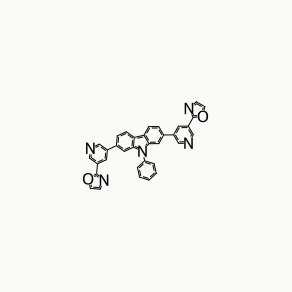 c1ccc(-n2c3cc(-c4cncc(-c5ncco5)c4)ccc3c3ccc(-c4cncc(-c5ncco5)c4)cc32)cc1